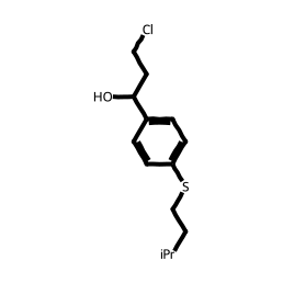 CC(C)CCSc1ccc(C(O)CCCl)cc1